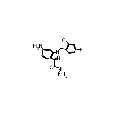 NNC(=O)c1nn(Cc2ccc(F)cc2Cl)c2cc(N)ccc12